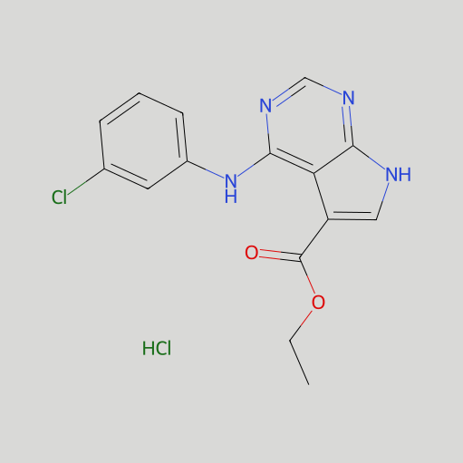 CCOC(=O)c1c[nH]c2ncnc(Nc3cccc(Cl)c3)c12.Cl